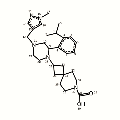 CC(C)c1ccccc1C1CN(Cc2cnn(C)c2)CCN1C1CC2(CCN(C(=O)O)CC2)C1